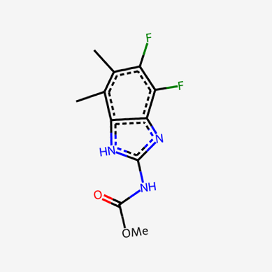 COC(=O)Nc1nc2c(F)c(F)c(C)c(C)c2[nH]1